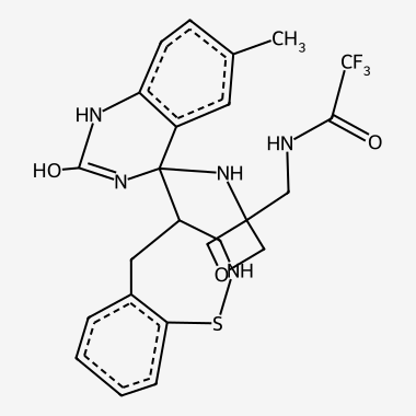 Cc1ccc2c(c1)C(NC1(CNC(=O)C(F)(F)F)COC1)(C1CNSc3ccccc3C1)N=C(O)N2